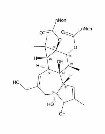 CCCCCCCCCC(=O)O[C@@H]1[C@@H](C)[C@@]2(O)[C@@H](C=C(CO)C[C@]3(O)C(O)C(C)=C[C@@H]23)[C@@H]2C(C)(C)[C@]12OC(=O)CCCCCCCCC